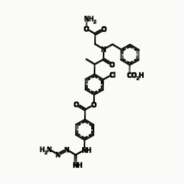 CC(C(=O)N(CC(=O)ON)Cc1cccc(C(=O)O)c1)c1ccc(OC(=O)c2ccc(NC(=N)N=NN)cc2)cc1Cl